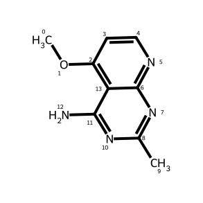 COc1ccnc2nc(C)nc(N)c12